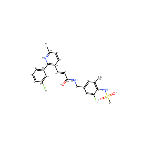 CS(=O)(=O)Nc1c(F)cc(CNC(=O)/C=C/c2ccc(C(F)(F)F)nc2-c2cccc(F)c2)cc1C#N